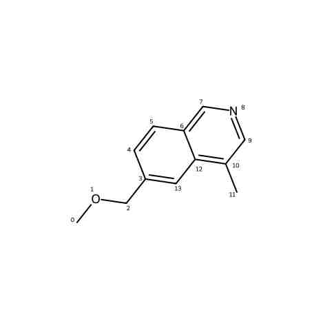 COCc1ccc2cncc(C)c2c1